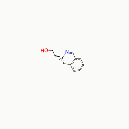 OCC[C@@H]1Cc2ccccc2C=N1